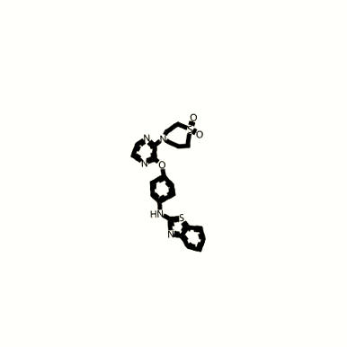 O=S1(=O)CCN(c2nccnc2Oc2ccc(Nc3nc4ccccc4s3)cc2)CC1